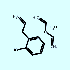 C=CCc1ccccc1O.C=COC=C.O